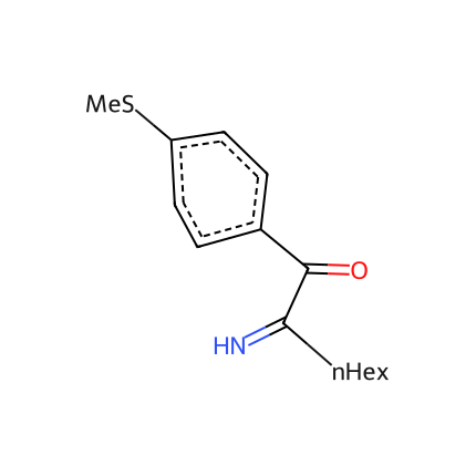 CCCCCCC(=N)C(=O)c1ccc(SC)cc1